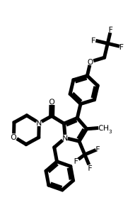 Cc1c(-c2ccc(OCC(F)(F)F)cc2)c(C(=O)N2CCOCC2)n(Cc2ccccc2)c1C(F)(F)F